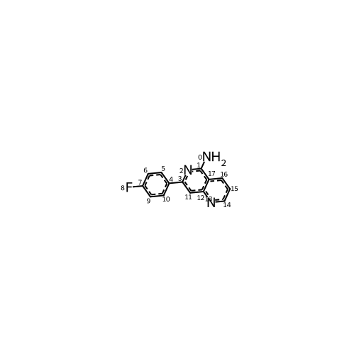 Nc1nc(-c2ccc(F)cc2)cc2ncccc12